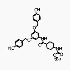 CC(C)(C)OC(=O)NC1CCC(C(=O)Nc2cc(OCc3ccc(C#N)cc3)cc(OCc3ccc(C#N)cc3)c2)CC1